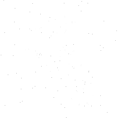 N#Cc1c(-c2cc(C(F)(F)F)ccc2Cl)cc(-c2cc(Cl)cc(C(=O)N3CCC(Cc4ccccc4)CC3)c2O)[nH]c1=O